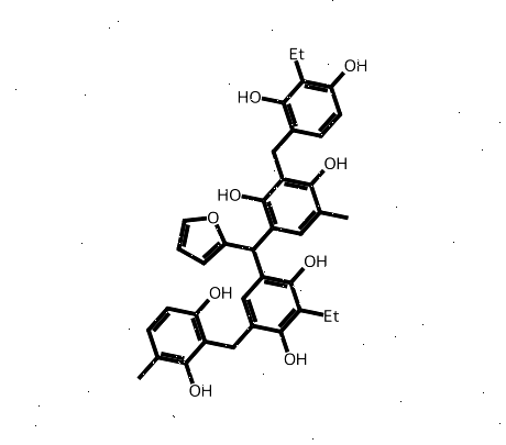 CCc1c(O)ccc(Cc2c(O)c(C)cc(C(c3ccco3)c3cc(Cc4c(O)ccc(C)c4O)c(O)c(CC)c3O)c2O)c1O